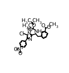 COC(=O)c1cccc(CC(NC(=O)OC(C)(C)C)c2nc(-c3ccc([N+](=O)[O-])cc3)c(Cl)[nH]2)c1